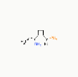 C=CC(N)C1CCC1C(P)CC